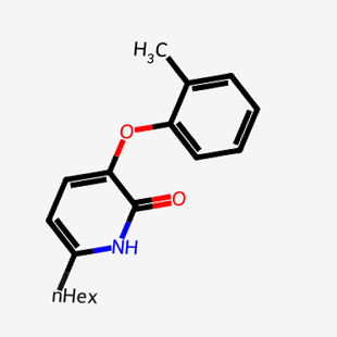 CCCCCCc1ccc(Oc2ccccc2C)c(=O)[nH]1